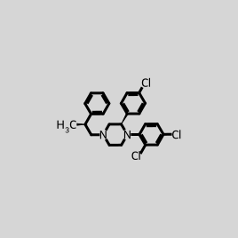 C[C@H](CN1CCN(c2ccc(Cl)cc2Cl)[C@H](c2ccc(Cl)cc2)C1)c1ccccc1